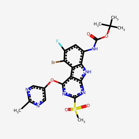 Cc1ncc(Oc2nc(S(C)(=O)=O)nc3[nH]c4c(NC(=O)OC(C)(C)C)cc(F)c(Br)c4c23)cn1